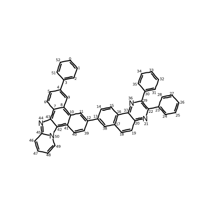 c1ccc(-c2ccc3c(c2)c2cc(-c4ccc5c(ccc6nc(-c7ccccc7)c(-c7ccccc7)nc65)c4)ccc2c2c3nc3ccccn32)cc1